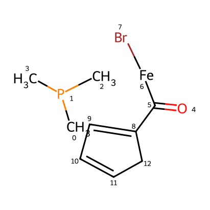 CP(C)C.O=[C]([Fe][Br])C1=CC=CC1